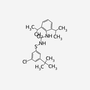 CC(C)c1cccc(C(C)C)c1NC(=O)NSc1cc(Cl)cc(C(C)(C)C)c1